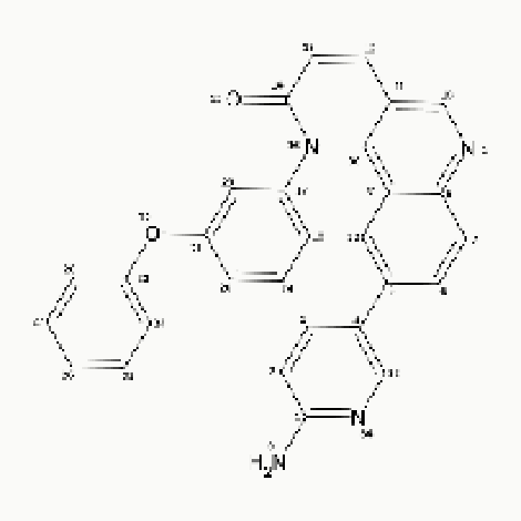 Nc1ccc(-c2ccc3ncc4ccc(=O)n(-c5cccc(Oc6ccccc6)c5)c4c3c2)cn1